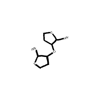 CCCC1SCCC1OC1CCSC1CCC